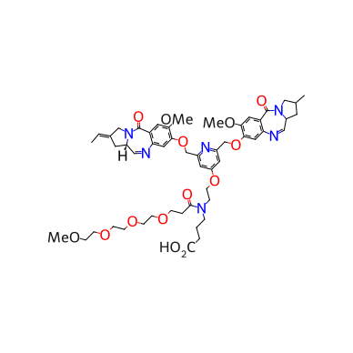 C/C=C1\C[C@H]2C=Nc3cc(OCc4cc(OCCN(CCCC(=O)O)C(=O)CCOCCOCCOCCOC)cc(COc5cc6c(cc5OC)C(=O)N5CC(C)CC5C=N6)n4)c(OC)cc3C(=O)N2C1